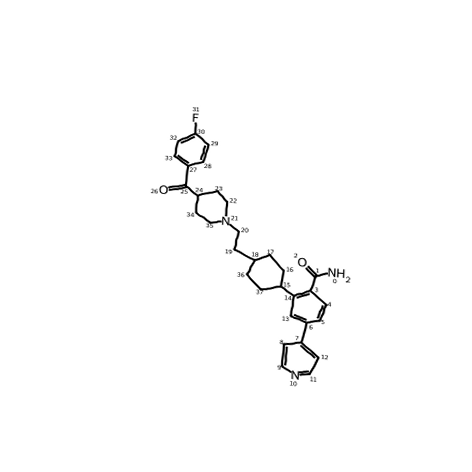 NC(=O)c1ccc(-c2ccncc2)cc1C1CCC(CCN2CCC(C(=O)c3ccc(F)cc3)CC2)CC1